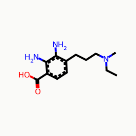 CCN(C)CCCc1ccc(C(=O)O)c(N)c1N